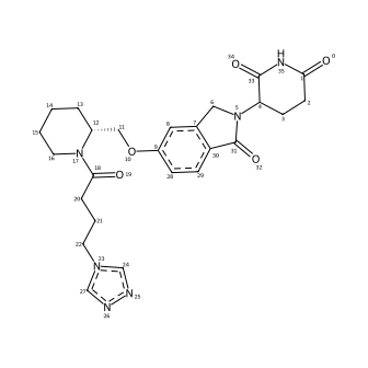 O=C1CCC(N2Cc3cc(OC[C@H]4CCCCN4C(=O)CCCn4cnnc4)ccc3C2=O)C(=O)N1